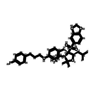 CC(C)C[C@H]1OC(C)(C)N(CN)[C@@]1(Cc1ccc(OCCCc2ccc(F)cc2)cc1)S(=O)(=O)c1ccc2c(c1)OCO2